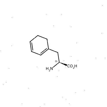 N[C@@H](CC1=CC=CCC1)C(=O)O